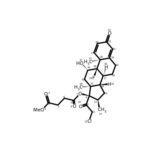 COC(=O)CCC(=O)O[C@]1(C(=O)CCl)[C@H](C)C[C@H]2[C@@H]3CCC4=CC(=O)C=C[C@]4(C)[C@@]3(F)[C@@H](O)C[C@@]21C